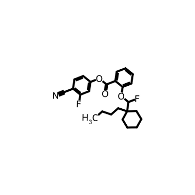 CCCCC1(C(F)Oc2ccccc2C(=O)Oc2ccc(C#N)c(F)c2)CCCCC1